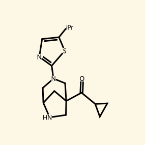 CC(C)c1cnc(N2CC3CC(C(=O)C4CC4)(CN3)C2)s1